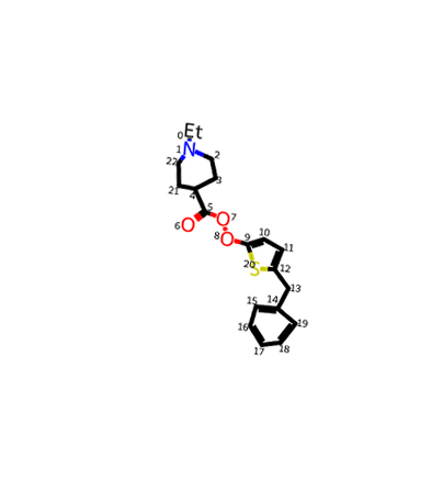 CCN1CCC(C(=O)OOc2ccc(Cc3ccccc3)s2)CC1